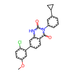 COc1ccc(Cl)c(-c2ccc3c(=O)n(-c4cccc(C5CC5)c4)c(=O)[nH]c3c2)c1